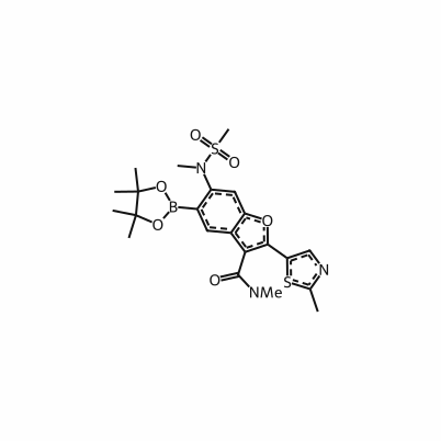 CNC(=O)c1c(-c2cnc(C)s2)oc2cc(N(C)S(C)(=O)=O)c(B3OC(C)(C)C(C)(C)O3)cc12